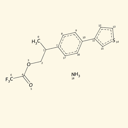 CC(COC(=O)C(F)(F)F)c1ccc(-c2ccsc2)cc1.N